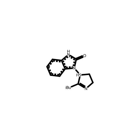 CCC(C)C1=NCC[SH]1n1c(=O)[nH]c2ccccc21